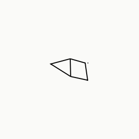 [CH]1CC2CC12